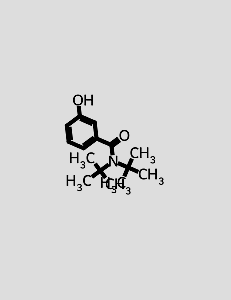 CC(C)(C)N(C(=O)c1cccc(O)c1)C(C)(C)C